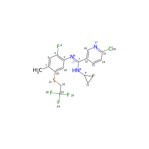 Cc1cc(F)c(/N=C(\NC2CC2)c2ccc(Cl)nc2)cc1SCC(F)(F)F